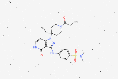 CN(C)S(=O)(=O)c1ccc(Nc2nn(C3(CC#N)CCN(C(=O)CC#N)CC3)c3cc[nH]c(=O)c23)cc1